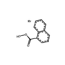 O=C(OO)c1cccc2ccccc12.[Rb]